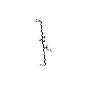 CCCCCCCCCCCCCCCCCCNC(=O)NCCCN(CCCCCCCCCCCCCCCCCC)C(N)=O